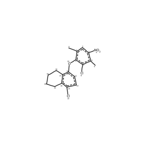 Cc1cc([N+](=O)[O-])c(C)c(Cl)c1Oc1ccc(Cl)c2c1CCCC2